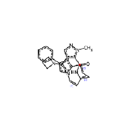 Cn1ncc(C(=O)N2CCC2)c1C(=O)NC1=C\C=C\c2nc(-c3ccccc3)cn2/C=C\1